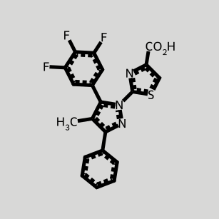 Cc1c(-c2ccccc2)nn(-c2nc(C(=O)O)cs2)c1-c1cc(F)c(F)c(F)c1